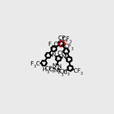 Cc1nc(C)nc(-c2cc(-n3c4cc(-c5cc(C(F)(F)F)cc(C(F)(F)F)c5)ccc4c4ccc(-c5cc(C(F)(F)F)cc(C(F)(F)F)c5)cc43)c(C(F)(F)F)c(-n3c4cc(-c5cc(C(F)(F)F)cc(C(F)(F)F)c5)ccc4c4ccc(-c5cc(C(F)(F)F)cc(C(F)(F)F)c5)cc43)c2)n1